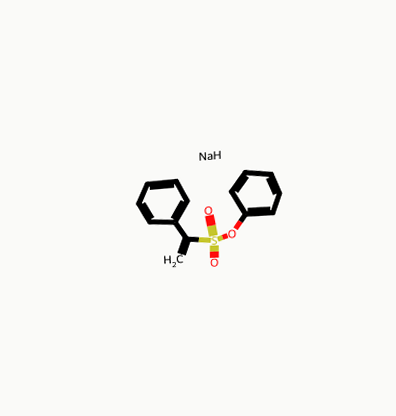 C=C(c1ccccc1)S(=O)(=O)Oc1ccccc1.[NaH]